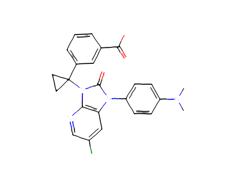 CN(C)c1ccc(-n2c(=O)n(C3(c4cccc(C(=O)O)c4)CC3)c3ncc(Cl)cc32)cc1